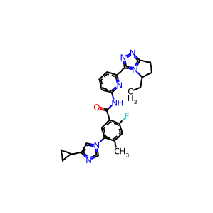 CCC1CCc2nnc(-c3cccc(NC(=O)c4cc(-n5cnc(C6CC6)c5)c(C)cc4F)n3)n21